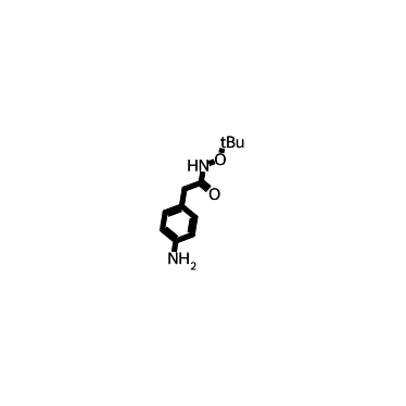 CC(C)(C)ONC(=O)Cc1ccc(N)cc1